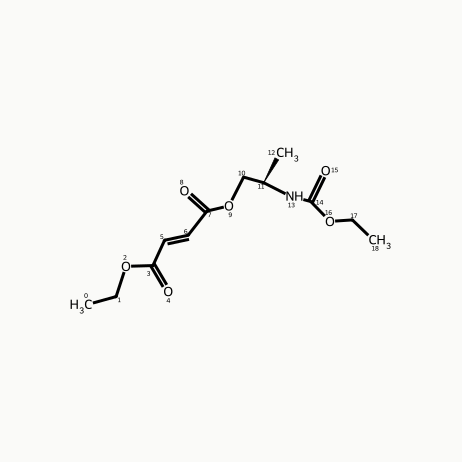 CCOC(=O)/C=C/C(=O)OC[C@@H](C)NC(=O)OCC